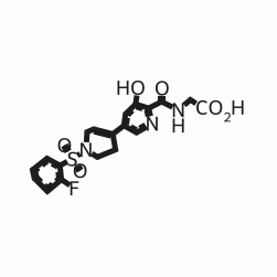 O=C(O)CNC(=O)c1ncc(C2=CCN(S(=O)(=O)c3ccccc3F)CC2)cc1O